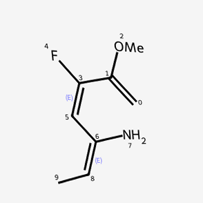 C=C(OC)/C(F)=C\C(N)=C/C